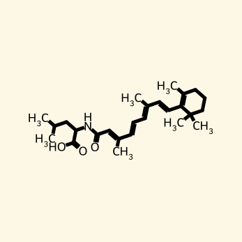 CC(C=CC1=C(C)CCCC1(C)C)=CC=CC(C)=CC(=O)NC(CC(C)C)C(=O)O